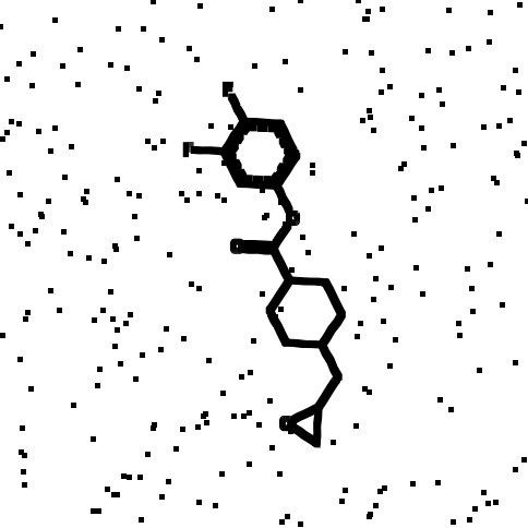 O=C(Oc1ccc(F)c(F)c1)C1CCC(CC2CO2)CC1